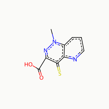 Cn1nc(C(=O)O)c(=S)c2ncccc21